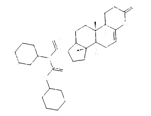 C[C@]12CC[C@H]3[C@@H](CC=C4NC(=O)CC[C@@]43C)[C@@H]1CC[C@@H]2C(=O)N(C(=S)NC1CCCCC1)C1CCCCC1